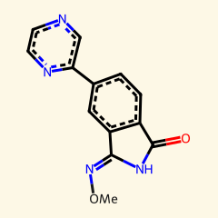 CON=C1NC(=O)c2ccc(-c3cnccn3)cc21